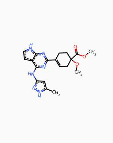 COC(=O)C1(OC)CC=C(c2nc(Nc3cc(C)[nH]n3)c3cc[nH]c3n2)CC1